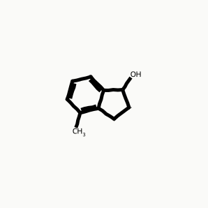 Cc1cccc2c1C[CH]C2O